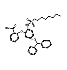 CCCCCCCCS(=O)(=O)Nc1ccccc1Oc1ccccc1C(=O)O.OC(c1ccccc1)c1ccccc1